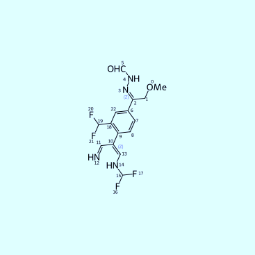 COC/C(=N\NC=O)c1ccc(/C(C=N)=C/NC(F)F)c(C(F)F)c1